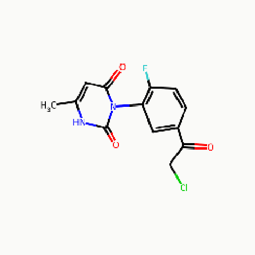 Cc1cc(=O)n(-c2cc(C(=O)CCl)ccc2F)c(=O)[nH]1